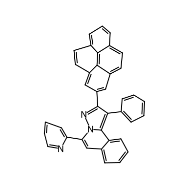 c1ccc(-c2c(-c3cc4ccc5cccc6ccc(c3)c4c56)nn3c(-c4ccccn4)cc4ccccc4c23)cc1